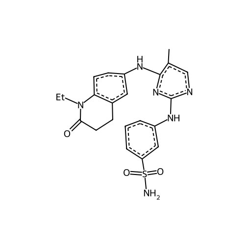 CCN1C(=O)CCc2cc(Nc3nc(Nc4cccc(S(N)(=O)=O)c4)ncc3C)ccc21